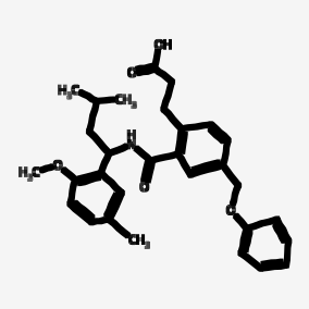 COc1ccc(C)cc1C(CC(C)C)NC(=O)c1cc(COc2ccccc2)ccc1CCC(=O)O